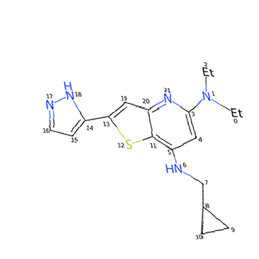 CCN(CC)c1cc(NCC2CC2)c2sc(-c3ccn[nH]3)cc2n1